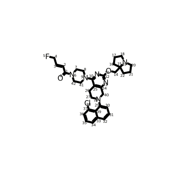 O=C(/C=C/CF)N1CCN(c2nc(OCC34CCCN3CCC4)nc3c2CCN(c2cccc4cccc(Cl)c24)C3)CC1